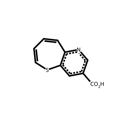 O=C(O)c1cnc2c(c1)SC=CC=C2